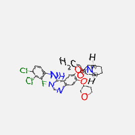 C=CC(=O)N1[C@@H]2CC[C@H]1C[C@H](Oc1cc3c(Nc4ccc(Cl)c(Cl)c4F)ncnc3cc1OC1CCOC1)C2